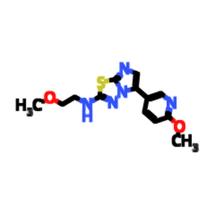 COCCNc1nn2c(-c3ccc(OC)nc3)cnc2s1